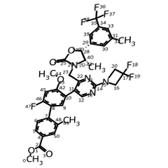 COC(=O)c1ccc(-c2cc(-c3cnc(N4CC(F)(F)C4)nc3CN3C(=O)O[C@H](c4cc(C)cc(C(F)(F)F)c4)[C@@H]3C)c(OC)cc2F)c(C)c1